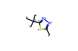 Cc1nnc(C(C)(C)C)s1